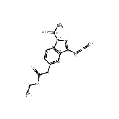 CCOC(=O)Cc1ccc2c(c1)c(N=C=O)cn2C(N)=O